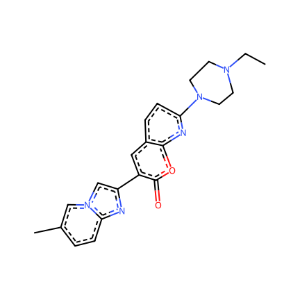 CCN1CCN(c2ccc3cc(-c4cn5cc(C)ccc5n4)c(=O)oc3n2)CC1